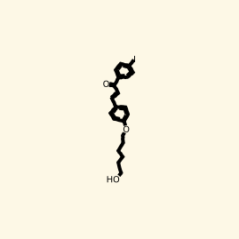 O=C(C=Cc1ccc(OCCCCCCO)cc1)c1ccc(I)cc1